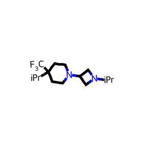 CC(C)N1CC(N2CCC(C(C)C)(C(F)(F)F)CC2)C1